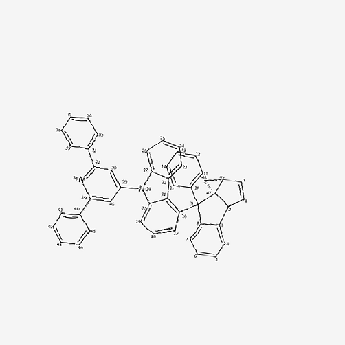 C1=CC2c3ccccc3C(c3ccccc3)(c3cccc4c3c3ccccc3n4-c3cc(-c4ccccc4)nc(-c4ccccc4)c3)[C@]23CC13